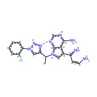 CC(c1cn(-c2ccccc2F)nn1)n1cc(C(=N)/C=C\N)c2c(N)ncnc21